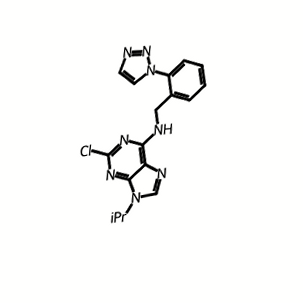 CC(C)n1cnc2c(NCc3ccccc3-n3ccnn3)nc(Cl)nc21